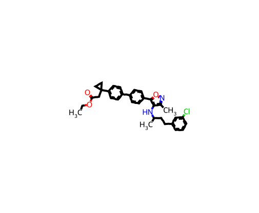 CCOC(=O)CC1(c2ccc(-c3ccc(-c4onc(C)c4NC(C)CCc4cccc(Cl)c4)cc3)cc2)CC1